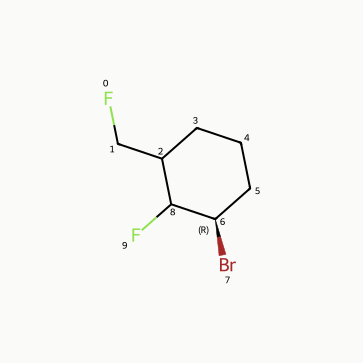 FCC1CCC[C@@H](Br)C1F